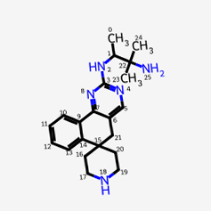 CC(Nc1ncc2c(n1)-c1ccccc1C1(CCNCC1)C2)C(C)(C)N